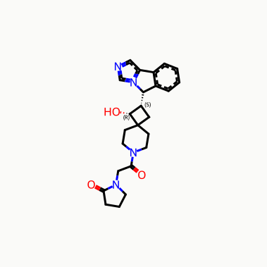 O=C(CN1CCCC1=O)N1CCC2(CC1)C[C@@H](C1c3ccccc3-c3cncn31)[C@H]2O